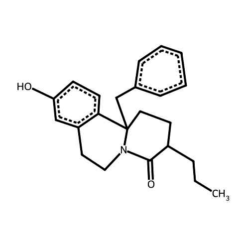 CCCC1CCC2(Cc3ccccc3)c3ccc(O)cc3CCN2C1=O